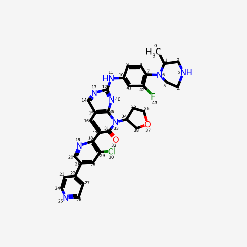 CC1CNCCN1c1ccc(Nc2ncc3cc(-c4ncc(-c5ccncc5)cc4Cl)c(=O)n(C4CCOC4)c3n2)cc1F